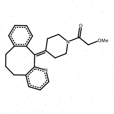 COCC(=O)N1CCC(=C2c3ccccc3CCCc3cccnc32)CC1